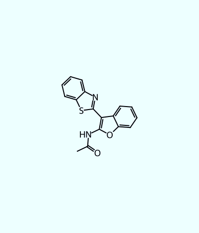 CC(=O)Nc1oc2ccccc2c1-c1nc2ccccc2s1